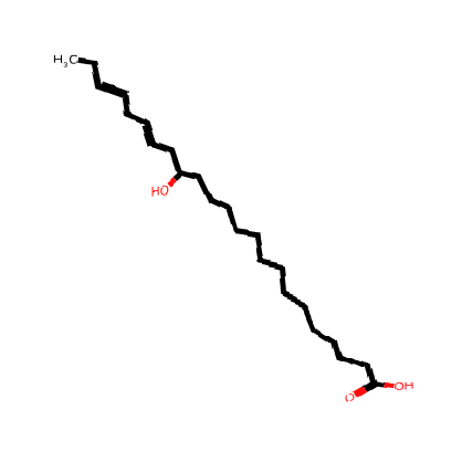 CCC=CCC=CCC(O)CCCCCCCCCCCCCC(=O)O